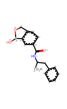 O=C(NC(Cc1ccccc1)C(=O)O)c1ccc2c(c1)B(O)OC2